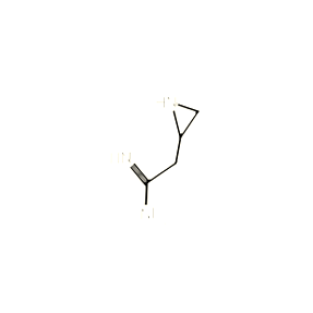 N=C(N)CC1CN1